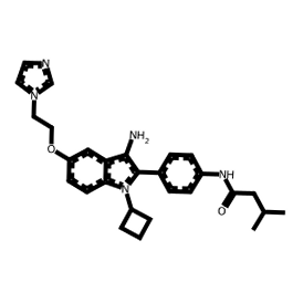 CC(C)CC(=O)Nc1ccc(-c2c(N)c3cc(OCCn4ccnc4)ccc3n2C2CCC2)cc1